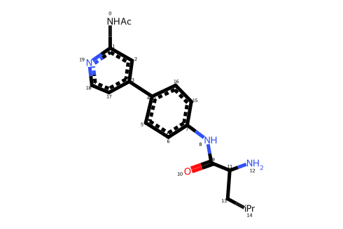 CC(=O)Nc1cc(-c2ccc(NC(=O)C(N)CC(C)C)cc2)ccn1